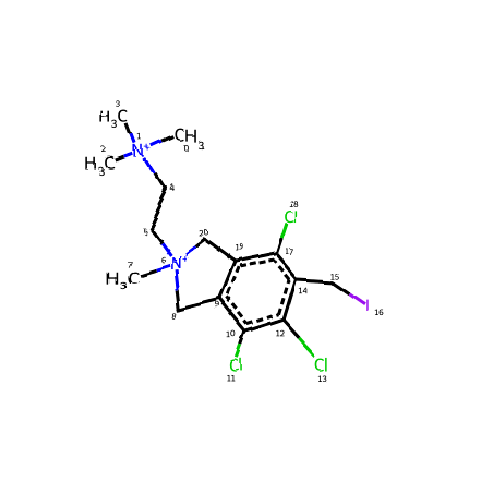 C[N+](C)(C)CC[N+]1(C)Cc2c(Cl)c(Cl)c(CI)c(Cl)c2C1